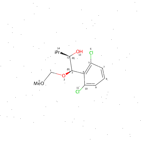 COCO[C@H](c1c(Cl)cccc1Cl)[C@H](O)C(C)C